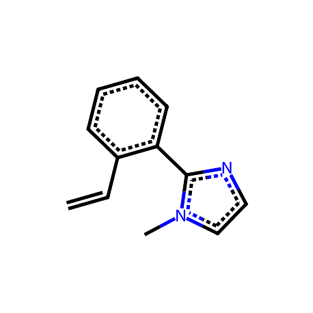 C=Cc1ccccc1-c1nccn1C